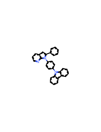 c1ccc(-c2cc3cccnc3n2-c2ccc(-n3c4ccccc4c4ccccc43)cc2)cc1